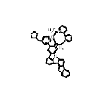 C=C1CC2(C)[n+]3ccc(CC4CCCC4)cc3-c3cc4c5cccc6c7c8sc9ccccc9c8ccc7n(c4cc3C2(C)CCc2ccccc2-c2cccc[n+]21)c56